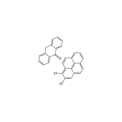 Clc1cc2ccc3cccc4ccc(c1Cl)c2c34.O=C1c2ccccc2Cc2ccccc21